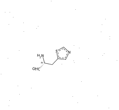 N[C@@H](C=O)Cc1cncs1